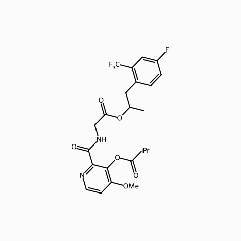 COc1ccnc(C(=O)NCC(=O)OC(C)Cc2ccc(F)cc2C(F)(F)F)c1OC(=O)C(C)C